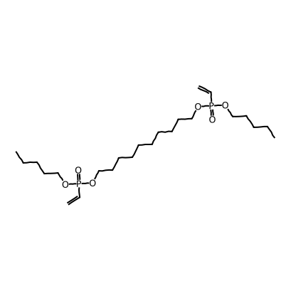 C=CP(=O)(OCCCCC)OCCCCCCCCCCOP(=O)(C=C)OCCCCC